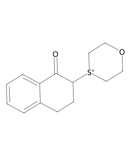 O=C1c2ccccc2CCC1[S+]1CCOCC1